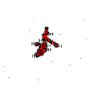 CCCOc1cc(N=Nc2ccc(N=Nc3ccccc3)cc2S(=O)(=O)O)c(C)cc1Cc1nc(Cc2ccc(N=Nc3ccc(N=Nc4ccc(S(=O)(=O)O)cc4)cc3)c(C)c2)nc(NCCN(C)c2nc(Nc3ccc(N=Nc4ccc(N=Nc5ccccc5)cc4S(=O)(=O)O)c(C)c3)nc(Nc3cc(C)c(N=Nc4ccc(N=Nc5ccc(S(=O)(=O)O)cc5)cc4)cc3OCCCS(=O)(=O)O)n2)n1